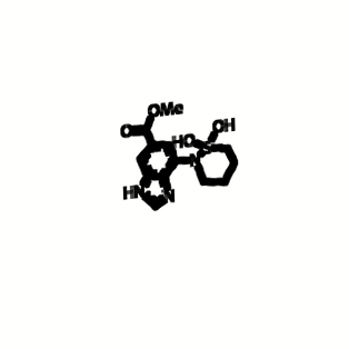 COC(=O)c1cc(N2CCCCS2(O)O)c2nc[nH]c2c1